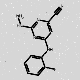 N#Cc1cc(Nc2ccccc2F)nc(NN)n1